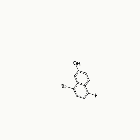 Oc1ccc2c(F)ccc(Br)c2c1